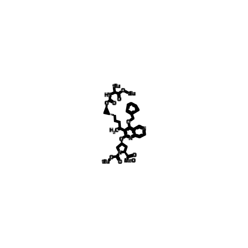 C=C(CCC[C@@H]1C[C@H]1OC(=O)NC(C(=O)OC(C)(C)C)C(C)(C)C)c1c(O[C@@H]2C[C@@H](C(=O)OC)N(C(=O)OC(C)(C)C)C2)nc2ccncc2c1OCc1ccccc1